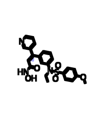 CCN(c1cccc(/C(=C\C(=O)NO)c2cccnc2)c1)S(=O)(=O)c1ccc(OC)cc1